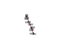 CCC(C)(C)C1CC(=O)N(CCC(=O)NCCCCCN(O)C(=O)CCC(=O)NCCCCCN(O)C(=O)CCC(=O)NCCCCCN(O)C(C)=O)C1=O